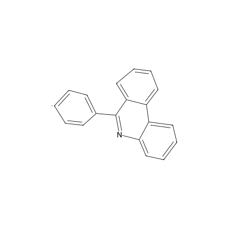 [c]1ccc(-c2nc3ccccc3c3ccccc23)cc1